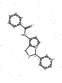 S=C(Nc1ccn2c1CSC2c1cccnc1)c1ccccc1